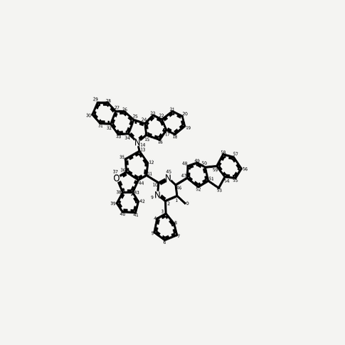 CC1C(c2ccccc2)=NC(c2cc(-n3c4cc5ccccc5cc4c4cc5ccccc5cc43)cc3oc4ccccc4c23)=NC1c1ccc2c(c1)Cc1ccccc1-2